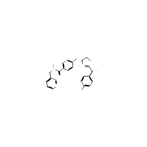 CN(Cc1cccnc1)C(=O)c1ccc(C[C@@H]2CC[C@H]([C@H](O)c3ccc(Cl)cc3)N2)cc1